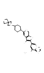 COc1cc(-c2[nH]c3cnc(C4CCC(N5CC6(COC6)C5)CC4)cc3c2C(C)C)cn2ncnc12